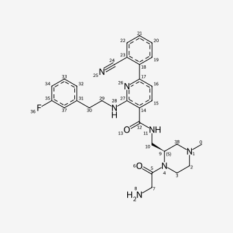 CN1CCN(C(=O)CN)[C@@H](CNC(=O)c2ccc(-c3ccccc3C#N)nc2NCCc2cccc(F)c2)C1